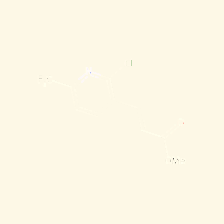 COC(=O)C=Cc1ccc(C(F)(F)F)nc1Cl